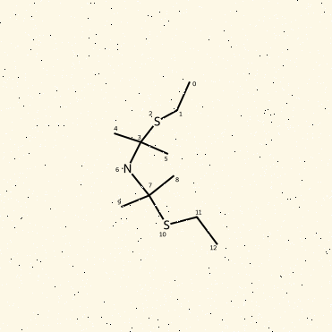 CCSC(C)(C)[N]C(C)(C)SCC